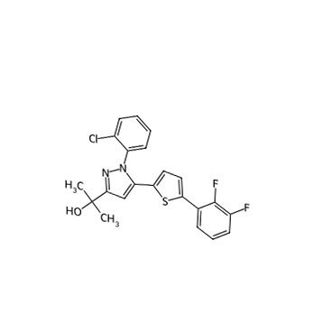 CC(C)(O)c1cc(-c2ccc(-c3cccc(F)c3F)s2)n(-c2ccccc2Cl)n1